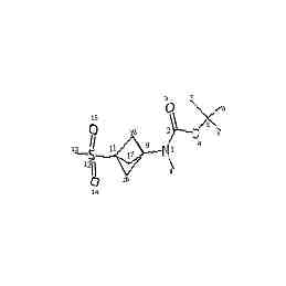 CN(C(=O)OC(C)(C)C)C12CC(S(C)(=O)=O)(C1)C2